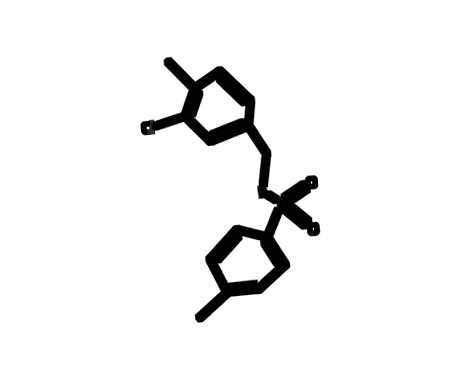 Cc1ccc(S(=O)(=O)SCc2ccc(C)c(Cl)c2)cc1